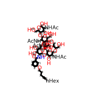 CCCCCCC#CCCCOc1cccc(C(=O)N[C@H]2C(O[C@H]3C(O)C(NC(C)=O)[C@H](OC(CO)C(CO)O[C@@H](O[C@H]4C(O)C(NC(C)=O)C(OC5C(CO)OC(O)[C@@H](NC(C)=O)[C@H]5O)O[C@H]4CO)[C@H](C)NC(C)=O)O[C@H]3CO)OC(CO)[C@@H](O)[C@@H]2O)c1